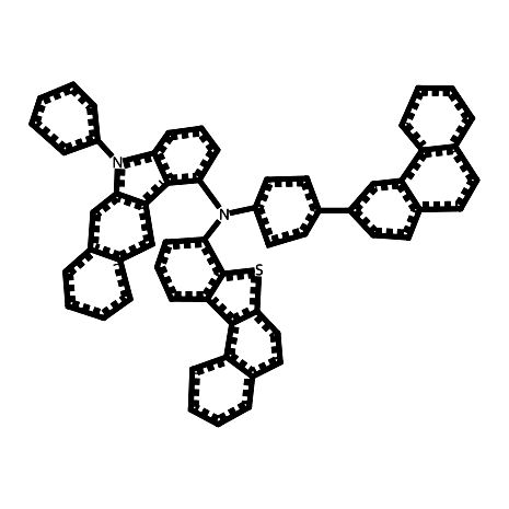 c1ccc(-n2c3cc4ccccc4cc3c3c(N(c4ccc(-c5ccc6ccc7ccccc7c6c5)cc4)c4cccc5c4sc4ccc6ccccc6c45)cccc32)cc1